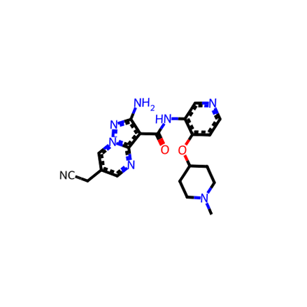 CN1CCC(Oc2ccncc2NC(=O)c2c(N)nn3cc(CC#N)cnc23)CC1